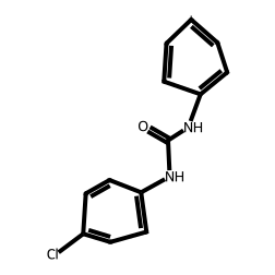 O=C(Nc1cc[c]cc1)Nc1ccc(Cl)cc1